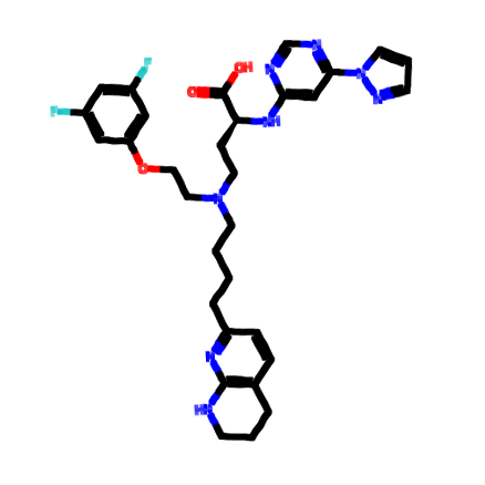 O=C(O)[C@H](CCN(CCCCc1ccc2c(n1)NCCC2)CCOc1cc(F)cc(F)c1)Nc1cc(-n2cccn2)ncn1